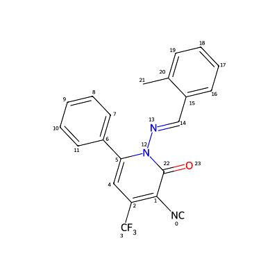 [C-]#[N+]c1c(C(F)(F)F)cc(-c2ccccc2)n(/N=C/c2ccccc2C)c1=O